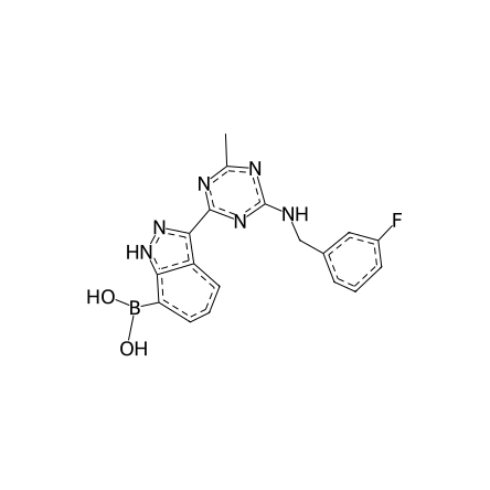 Cc1nc(NCc2cccc(F)c2)nc(-c2n[nH]c3c(B(O)O)cccc23)n1